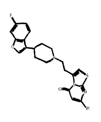 CC(C)c1cc(=O)n2c(CCN3CCC(c4coc5cc(F)ccc45)CC3)csc2n1